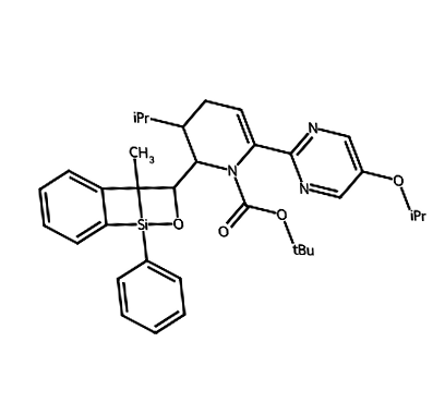 CC(C)Oc1cnc(C2=CCC(C(C)C)C(C3O[Si]4(c5ccccc5)c5ccccc5C34C)N2C(=O)OC(C)(C)C)nc1